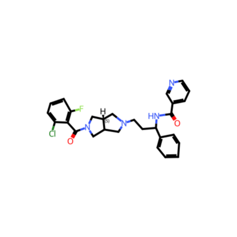 O=C(NC(CCN1CC2CN(C(=O)c3c(F)cccc3Cl)C[C@@H]2C1)c1ccccc1)c1cccnc1